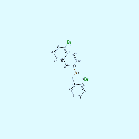 Brc1ccccc1CSc1ccc2c(Br)cccc2c1